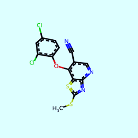 CSc1nc2ncc(C#N)c(Oc3ccc(Cl)cc3Cl)c2s1